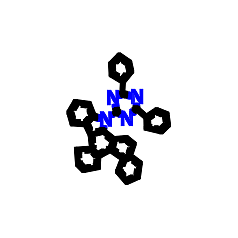 c1ccc(-c2nc(-c3ccccc3)nc(-n3c4ccccc4c4c5ccccc5c5c6ccccc6ccc5c43)n2)cc1